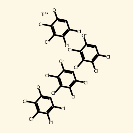 [O-]c1cc(Cl)c(Cl)c(Cl)c1Cl.[O-]c1cc(Cl)c(Cl)c(Cl)c1Cl.[O-]c1cc(Cl)c(Cl)c(Cl)c1Cl.[O-]c1cc(Cl)c(Cl)c(Cl)c1Cl.[Ti+4]